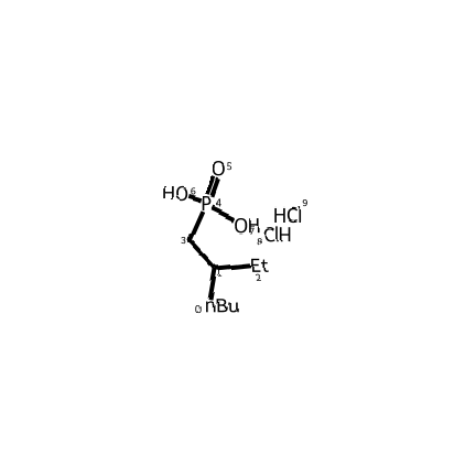 CCCCC(CC)CP(=O)(O)O.Cl.Cl